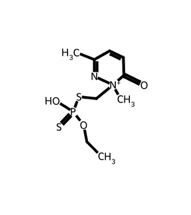 CCOP(O)(=S)SC[N+]1(C)N=C(C)C=CC1=O